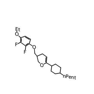 CCCCCC1CCC(C2=CCC(COc3ccc(OCC)c(F)c3F)CO2)CC1